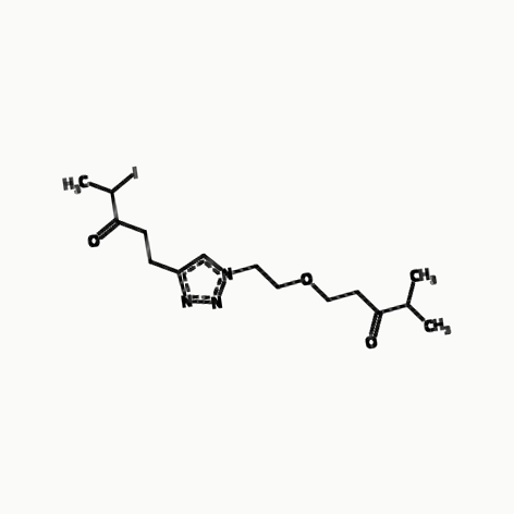 CC(C)C(=O)CCOCCn1cc(CCC(=O)C(C)I)nn1